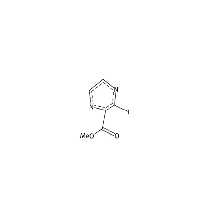 COC(=O)c1nccnc1I